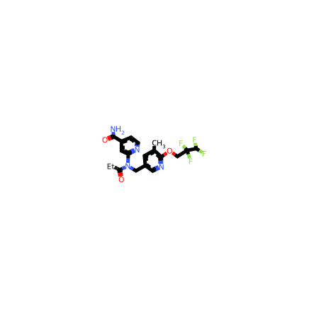 CCC(=O)N(Cc1cnc(OCC(F)(F)C(F)F)c(C)c1)c1cc(C(N)=O)ccn1